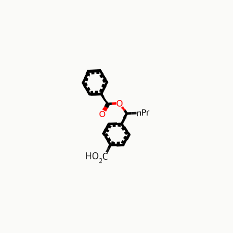 CCCC(OC(=O)c1ccccc1)c1ccc(C(=O)O)cc1